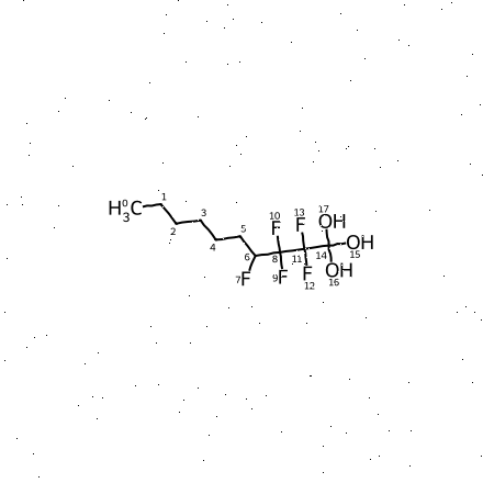 CCCCCCC(F)C(F)(F)C(F)(F)C(O)(O)O